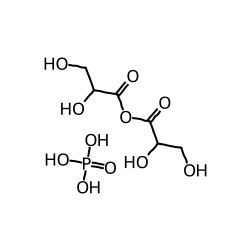 O=C(OC(=O)C(O)CO)C(O)CO.O=P(O)(O)O